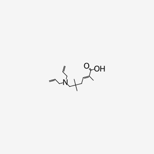 C=CCN(CC=C)CC(C)(C)C/C=C(\C)C(=O)O